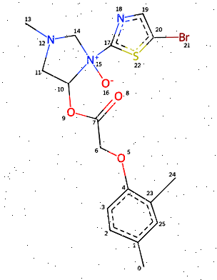 Cc1ccc(OCC(=O)OC2CN(C)C[N+]2([O-])c2ncc(Br)s2)c(C)c1